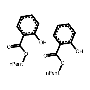 CCCCCOC(=O)c1ccccc1O.CCCCCOC(=O)c1ccccc1O